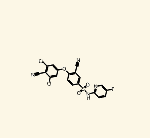 N#Cc1cc(S(=O)(=O)Nc2ccc(F)cn2)ccc1Oc1cc(Cl)c(C#N)c(Cl)c1